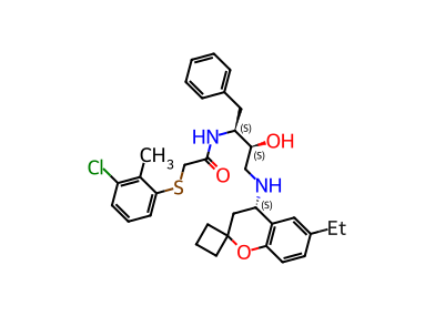 CCc1ccc2c(c1)[C@@H](NC[C@H](O)[C@H](Cc1ccccc1)NC(=O)CSc1cccc(Cl)c1C)CC1(CCC1)O2